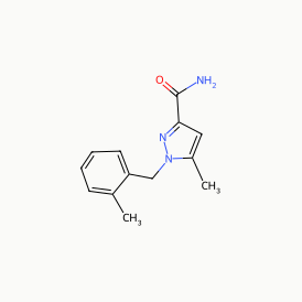 Cc1ccccc1Cn1nc(C(N)=O)cc1C